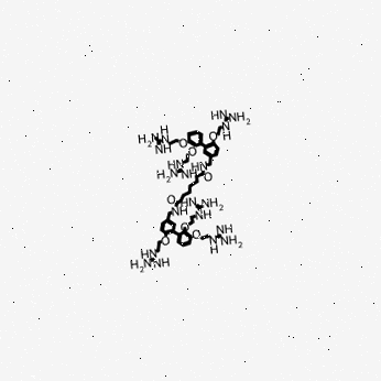 N=C(N)NCCOc1ccc(CNC(=O)CCCCCCC(=O)NCc2ccc(OCCNC(=N)N)c(-c3cccc(OCCNC(=N)N)c3OCCNC(=N)N)c2)cc1-c1cccc(OCCNC(=N)N)c1OCCNC(=N)N